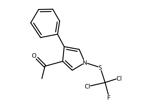 CC(=O)c1cn(SC(F)(Cl)Cl)cc1-c1ccccc1